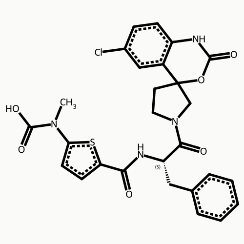 CN(C(=O)O)c1ccc(C(=O)N[C@@H](Cc2ccccc2)C(=O)N2CCC3(C2)OC(=O)Nc2ccc(Cl)cc23)s1